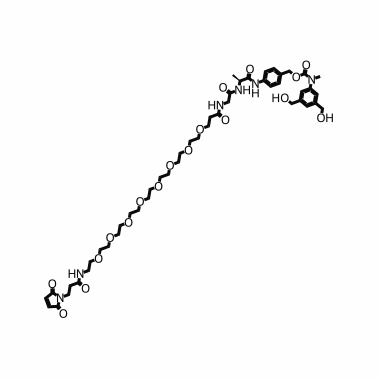 C[C@H](NC(=O)CNC(=O)CCOCCOCCOCCOCCOCCOCCOCCOCCNC(=O)CCN1C(=O)C=CC1=O)C(=O)Nc1ccc(COC(=O)N(C)c2cc(CO)cc(CO)c2)cc1